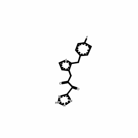 O=C(Cc1ccsc1Cc1ccc(F)cc1)C(=O)c1nn[nH]n1